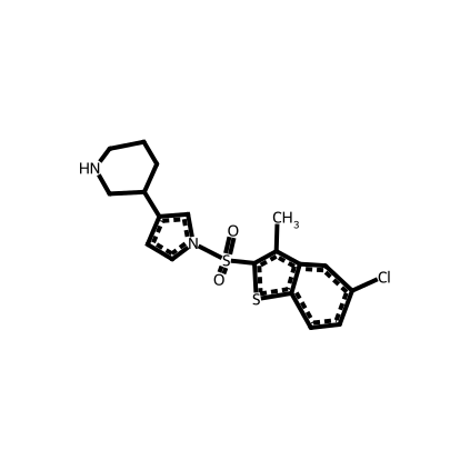 Cc1c(S(=O)(=O)n2ccc(C3CCCNC3)c2)sc2ccc(Cl)cc12